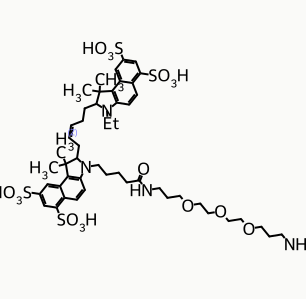 CCN1c2ccc3c(S(=O)(=O)O)cc(S(=O)(=O)O)cc3c2C(C)(C)C1CC/C=C\CC1N(CCCCC(=O)NCCCOCCOCCOCCCN)c2ccc3c(S(=O)(=O)O)cc(S(=O)(=O)O)cc3c2C1(C)C